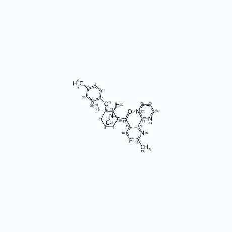 Cc1ccc(O[C@@H]2CC3CC[C@@H]2N(C(=O)c2ccc(C)nc2-c2ncccn2)C3)nc1